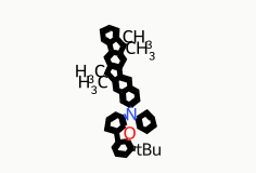 CC(C)(C)c1cccc2c1oc1c(N(c3ccccc3)c3ccc4cc5c(cc4c3)C(C)(C)c3cc4c(cc3-5)C(C)(C)c3ccccc3-4)cccc12